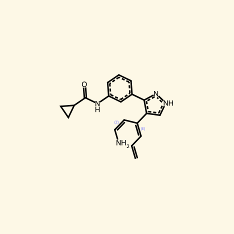 C=C/C=C(\C=C/N)c1c[nH]nc1-c1cccc(NC(=O)C2CC2)c1